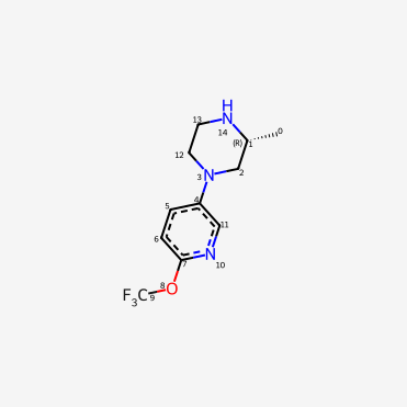 C[C@@H]1CN(c2ccc(OC(F)(F)F)nc2)CCN1